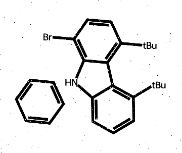 CC(C)(C)c1cccc2[nH]c3c(Br)ccc(C(C)(C)C)c3c12.c1ccccc1